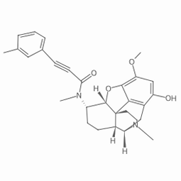 COc1cc(O)c2c3c1O[C@H]1[C@@H](N(C)C(=O)C#Cc4cccc(C)c4)CC[C@H]4[C@@H](C2)N(C)CC[C@@]341